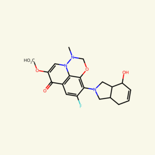 CN1COc2c(N3CC4CC=CC(O)C4C3)c(F)cc3c(=O)c(OC(=O)O)cn1c23